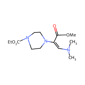 CCOC(=O)N1CCN(C(=CN(C)C)C(=O)OC)CC1